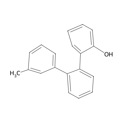 Cc1cccc(-c2ccccc2-c2ccccc2O)c1